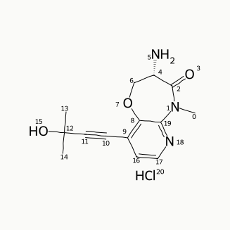 CN1C(=O)[C@@H](N)COc2c(C#CC(C)(C)O)ccnc21.Cl